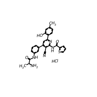 Cc1ccc(-c2cc(-c3cccc(NC(=O)C(C)N)c3)c(C#N)c(NC(=O)c3cccs3)n2)c(O)c1.Cl